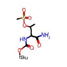 CC(OS(C)(=O)=O)C(NC(=O)OC(C)(C)C)C(N)=O